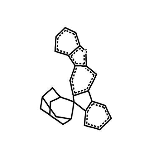 c1ccc2c(c1)-c1cc3sc4ccccc4c3cc1C21C2CC3CC(C2)CC1C3